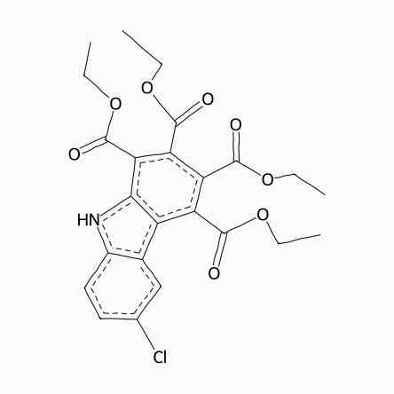 CCOC(=O)c1c(C(=O)OCC)c(C(=O)OCC)c2c([nH]c3ccc(Cl)cc32)c1C(=O)OCC